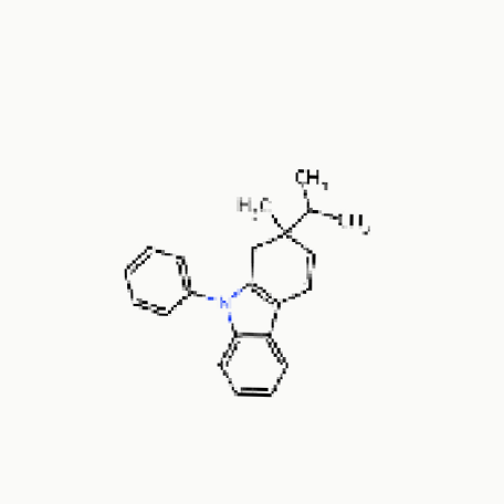 CC(C)C1(C)C=Cc2c(n(-c3ccccc3)c3ccccc23)C1